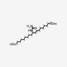 CCCCCCCCCCCCCCCCCCN(CCCCCCCCCCCCCCCCCC)NC(N)=O